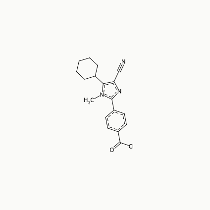 Cn1c(-c2ccc(C(=O)Cl)cc2)nc(C#N)c1C1CCCCC1